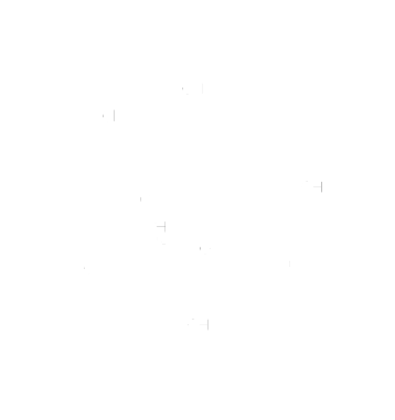 CCC(C)[SiH](OCC(C)Cl)OCC(C)Cl